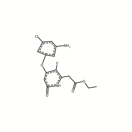 CCOC(=O)Cc1[nH]c(=O)cc(Oc2cc(N)cc(Cl)c2)c1F